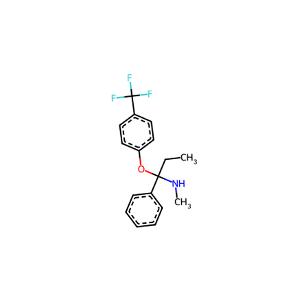 CCC(NC)(Oc1ccc(C(F)(F)F)cc1)c1ccccc1